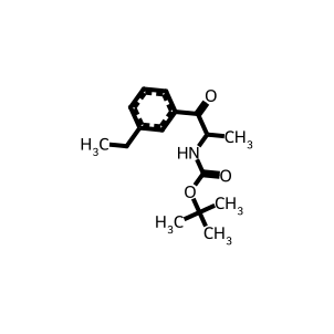 CCc1cccc(C(=O)C(C)NC(=O)OC(C)(C)C)c1